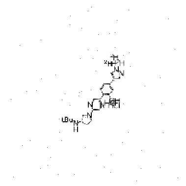 Cl.Cl.[2H]C([2H])([2H])n1cc(-c2ccc(-c3cnc(N4CCC(NC(C)(C)C)C4)cn3)c(O)c2)cn1